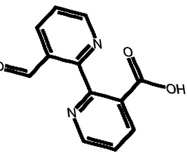 O=Cc1cccnc1-c1ncccc1C(=O)O